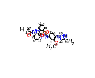 COc1cc(NS(=O)(=O)c2ccccc2-c2ccccc2NC(C)=O)ccc1-n1cnc(C)c1